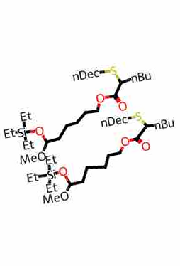 CCCCCCCCCCSC(CCCC)C(=O)OCCCCCC(OC)O[Si](CC)(CC)CC.CCCCCCCCCCSC(CCCC)C(=O)OCCCCCC(OC)O[Si](CC)(CC)CC